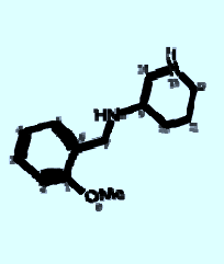 COc1ccccc1CNC1CCCNC1